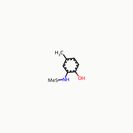 CSNc1cc(C)ccc1O